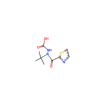 CC(C)(C)N(NC(=O)O)C(=O)c1nccs1